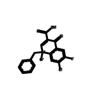 O=C(O)C1=C[N+]([O-])(Cc2ccccc2)c2cc(Cl)c(F)cc2C1=O